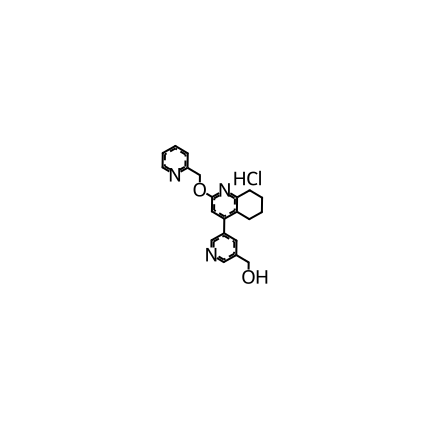 Cl.OCc1cncc(-c2cc(OCc3ccccn3)nc3c2CCCC3)c1